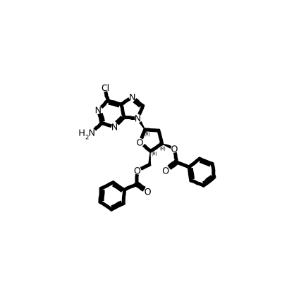 Nc1nc(Cl)c2ncn([C@H]3C[C@@H](OC(=O)c4ccccc4)[C@@H](COC(=O)c4ccccc4)O3)c2n1